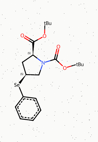 CC(C)(C)OC(=O)[C@@H]1C[C@H]([Se]c2ccccc2)CN1C(=O)OC(C)(C)C